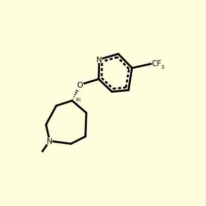 CN1CCC[C@@H](Oc2ccc(C(F)(F)F)cn2)CC1